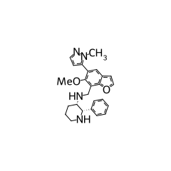 COc1c(-c2ccnn2C)cc2ccoc2c1CN[C@H]1CCCN[C@H]1c1ccccc1